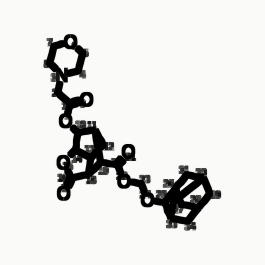 O=C(CN1CCOCC1)OC1C2CC3C1OC(=O)C3C2C(=O)OCOC1C2CC3CC(C2)CC1C3